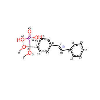 COC(OC)(c1ccc(/C=C/c2ccccc2)cc1)P(=O)(O)O